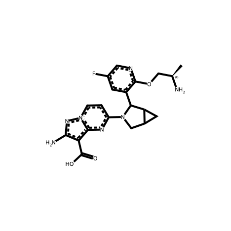 C[C@@H](N)COc1ncc(F)cc1C1C2CC2CN1c1ccn2nc(N)c(C(=O)O)c2n1